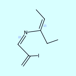 C=C(I)/C=N\C(=C/C)CC